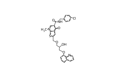 Cn1cc(C(=O)NCc2ccc(Cl)cc2)c(=O)c2cc(COCC(O)COc3cccc4cccnc34)sc21